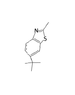 Cc1nc2ccc(C(C)(C)C)cc2s1